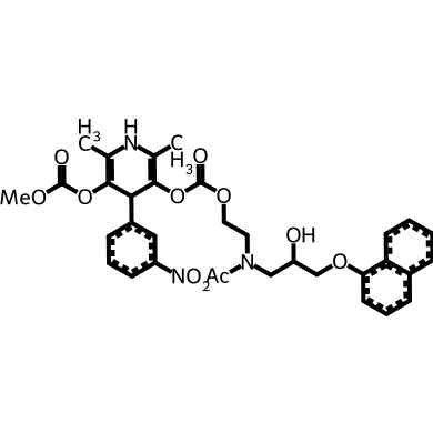 COC(=O)OC1=C(C)NC(C)=C(OC(=O)OCCN(CC(O)COc2cccc3ccccc23)C(C)=O)C1c1cccc([N+](=O)[O-])c1